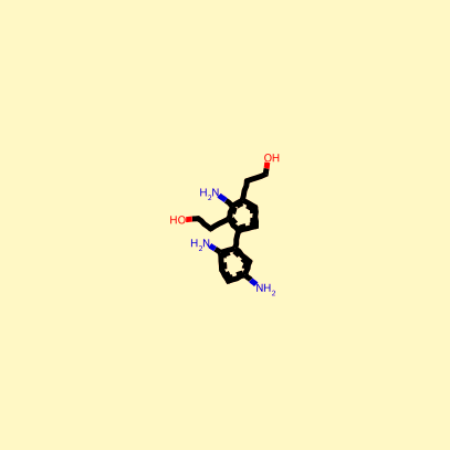 Nc1ccc(N)c(-c2ccc(CCO)c(N)c2CCO)c1